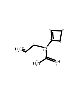 C=CCN(C(=N)N)C1=CCC1